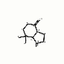 CC1(C)CCC(=O)N2CCNC21